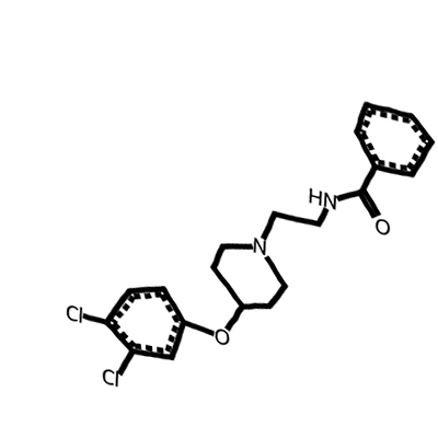 O=C(NCCN1CCC(Oc2ccc(Cl)c(Cl)c2)CC1)c1ccccc1